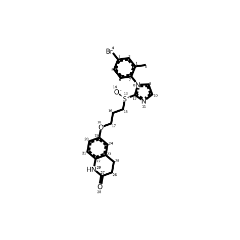 Cc1cc(Br)ccc1-n1ccnc1[S@@+]([O-])CCCOc1ccc2c(c1)CCC(=O)N2